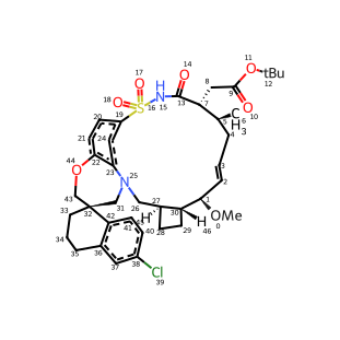 CO[C@@H]1/C=C/C[C@H](C)[C@@H](CC(=O)OC(C)(C)C)C(=O)NS(=O)(=O)c2ccc3c(c2)N(C[C@@H]2CC[C@H]21)C[C@@]1(CCCc2cc(Cl)ccc21)CO3